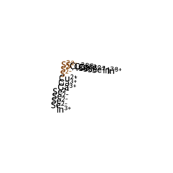 [Cu+2].[Cu+2].[Cu+2].[Ga+3].[Ga+3].[Ga+3].[In+3].[In+3].[In+3].[S-2].[S-2].[S-2].[S-2].[Se-2].[Se-2].[Se-2].[Se-2].[Se-2].[Se-2].[Se-2].[Se-2]